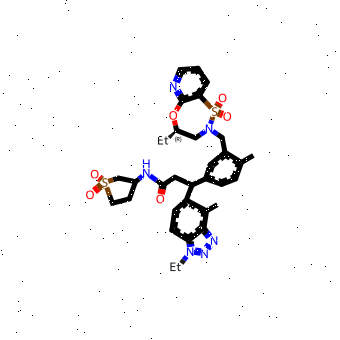 CC[C@@H]1CN(Cc2cc(C(CC(=O)NC3CCS(=O)(=O)C3)c3ccc4c(nnn4CC)c3C)ccc2C)S(=O)(=O)c2cccnc2O1